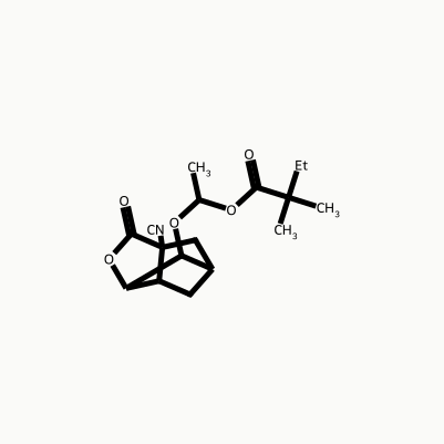 CCC(C)(C)C(=O)OC(C)OC1C2CC3C1OC(=O)C3(C#N)C2